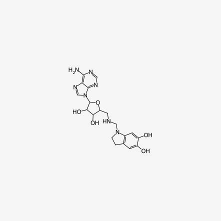 Nc1ncnc2c1ncn2C1OC(CNCN2CCc3cc(O)c(O)cc32)C(O)C1O